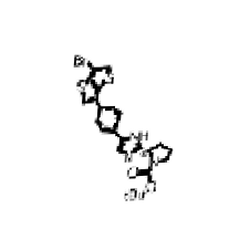 CC(C)(C)OC(=O)N1CCC[C@H]1c1ncc(-c2ccc(-c3csc4c(Br)csc34)cc2)[nH]1